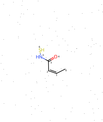 C/C=C\C(=O)NS